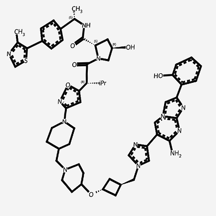 Cc1ncsc1-c1ccc([C@H](C)NC(=O)[C@@H]2C[C@@H](O)CN2C(=O)[C@@H](c2cc(N3CCC(CN4CCC(O[C@H]5C[C@H](Cn6cnc(-c7cn8cc(-c9ccccc9O)nc8nc7N)c6)C5)CC4)CC3)no2)C(C)C)cc1